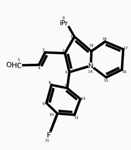 CC(C)c1c(C=CC=O)c(-c2ccc(F)cc2)n2ccccc12